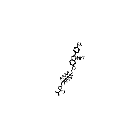 C=C(C)C(=O)OCCC(F)(F)C(F)(F)C(F)(F)C(F)(F)CCOc1ccc2cc(-c3ccc(CC)cc3)n(C(C)C)c2c1